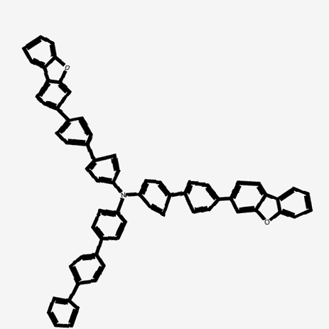 c1ccc(-c2ccc(-c3ccc(N(c4ccc(-c5ccc(-c6ccc7c(c6)oc6ccccc67)cc5)cc4)c4ccc(-c5ccc(-c6ccc7c(c6)oc6ccccc67)cc5)cc4)cc3)cc2)cc1